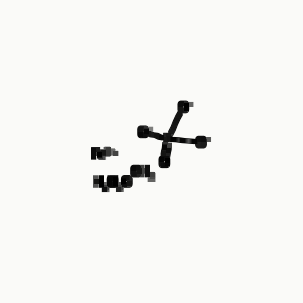 O.O.O.O=P([O-])([O-])[O-].[Fe+3]